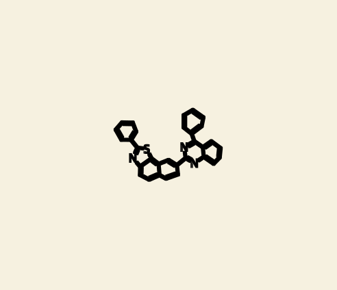 c1ccc(-c2nc3ccc4ccc(-c5nc(-c6ccccc6)c6ccccc6n5)cc4c3s2)cc1